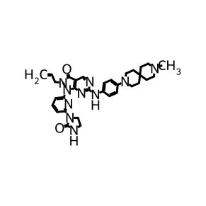 C=CCn1c(=O)c2cnc(Nc3ccc(N4CCC5(CCN(C)CC5)CC4)cc3)nc2n1-c1cccc(N2CCNC2=O)n1